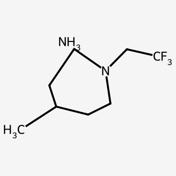 CC1CCN(CC(F)(F)F)CC1.N